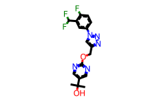 CC(C)(O)c1cnc(OCc2cn(-c3ccc(F)c(C(F)F)c3)nn2)nc1